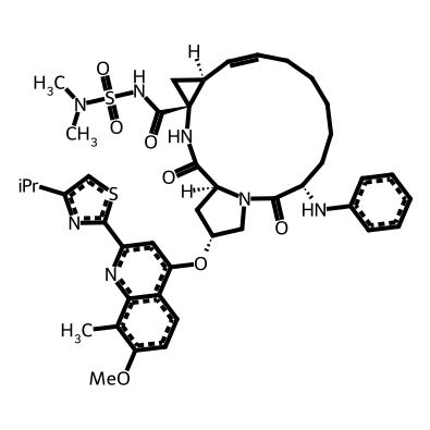 COc1ccc2c(O[C@@H]3C[C@H]4C(=O)N[C@]5(C(=O)NS(=O)(=O)N(C)C)C[C@H]5/C=C\CCCCC[C@H](Nc5ccccc5)C(=O)N4C3)cc(-c3nc(C(C)C)cs3)nc2c1C